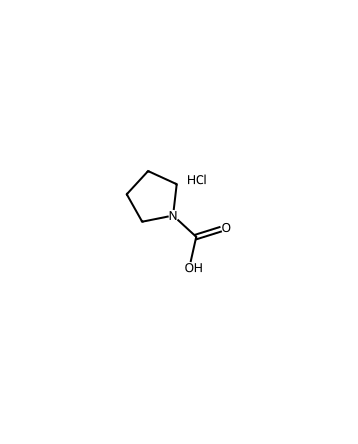 Cl.O=C(O)N1CCCC1